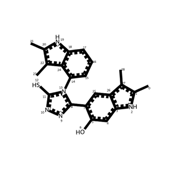 Cc1[nH]c2cc(O)c(-c3nnc(S)n3-c3cccc4[nH]c(C)c(C)c34)cc2c1C